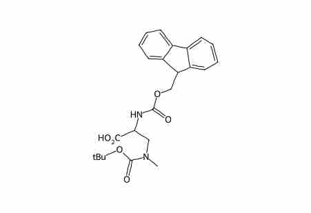 CN(CC(NC(=O)OCC1c2ccccc2-c2ccccc21)C(=O)O)C(=O)OC(C)(C)C